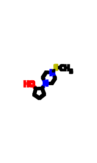 CSN1CCN(C2CCCC2O)CC1